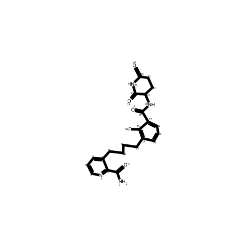 NC(=O)c1ncccc1CCCCc1cccc(C(=O)NC2CCC(=O)NC2=O)c1F